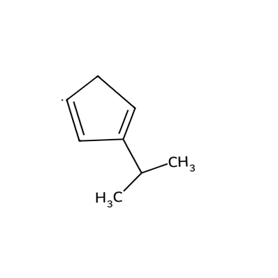 CC(C)C1=CC[C]=C1